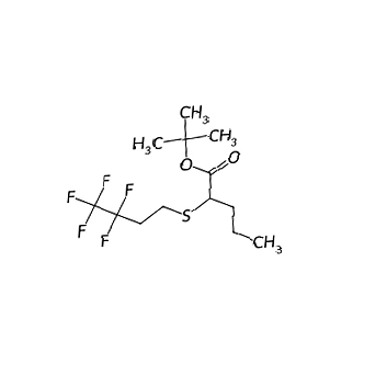 CCCC(SCCC(F)(F)C(F)(F)F)C(=O)OC(C)(C)C